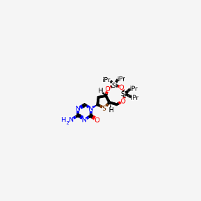 CC(C)[Si]1(C(C)C)OC[C@H]2S[C@@H](n3cnc(N)nc3=O)C[C@@H]2O[Si](C(C)C)(C(C)C)O1